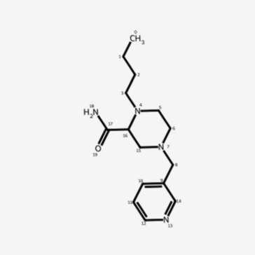 CCCCN1CCN(Cc2cccnc2)CC1C(N)=O